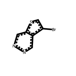 Brc1csc2cnncc12